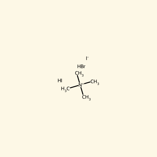 Br.C[N+](C)(C)C.I.[I-]